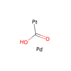 O=[C](O)[Pt].[Pd]